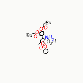 CCC(C)CC(=O)Oc1ccc(C(CC(C)OC(=O)OC2CCCCC2)[C@H](N)C(=O)O)cc1OC(=O)CC(C)CC